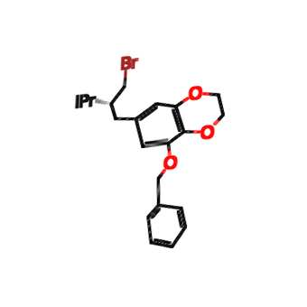 CC(C)[C@H](CBr)Cc1cc2c(c(OCc3ccccc3)c1)OCCO2